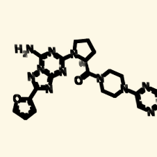 Nc1nc(N2CCC[C@H]2C(=O)N2CCN(c3cnccn3)CC2)nc2nc(-c3ccco3)nn12